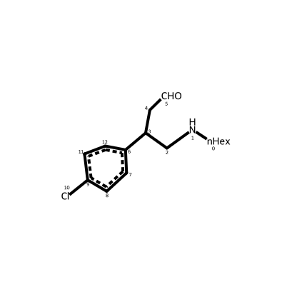 CCCCCCNCC(CC=O)c1ccc(Cl)cc1